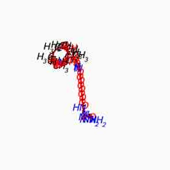 CO[C@H]1C[C@@H]2CC[C@@H](C)[C@@](O)(O2)C(=O)C(=O)N2CCCC[C@H]2C(O)O[C@H]([C@H](C)C[C@@H]2CC[C@@H](OCCOCc3cn(CCOCCOCCOCCOCCOCCOCCOCCOCCC(=O)NCCCCn4nc(-c5ccc6oc(N)nc6c5)c5c(N)ncnc54)nn3)[C@H](OC)C2)CC(=O)[C@H](C)/C=C(\C)[C@@H](O)[C@@H](OC)C(=O)[C@H](C)C[C@H](C)/C=C/C=C/C=C/1C